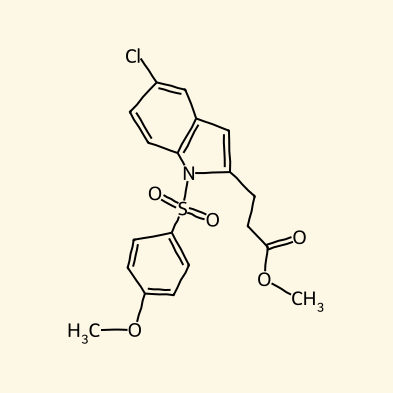 COC(=O)CCc1cc2cc(Cl)ccc2n1S(=O)(=O)c1ccc(OC)cc1